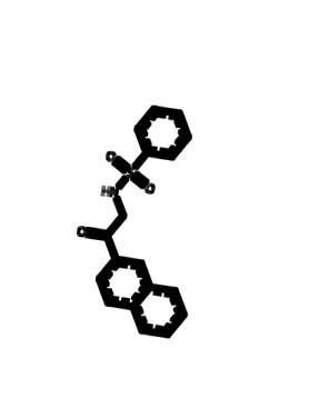 O=C(CNS(=O)(=O)c1ccccc1)c1ccc2ccccc2c1